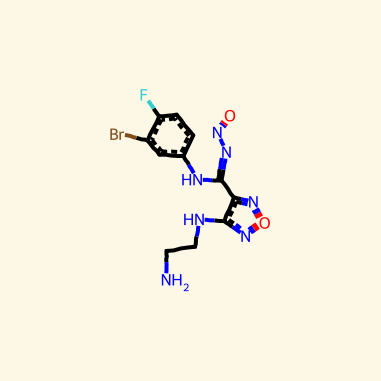 NCCNc1nonc1/C(=N/N=O)Nc1ccc(F)c(Br)c1